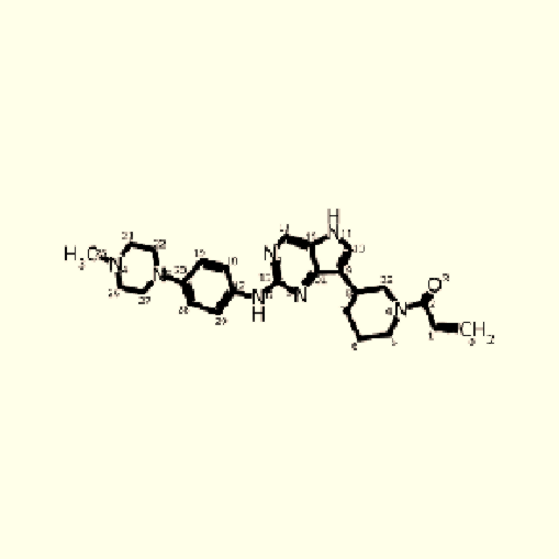 C=CC(=O)N1CCCC(c2c[nH]c3cnc(Nc4ccc(N5CCN(C)CC5)cc4)nc23)C1